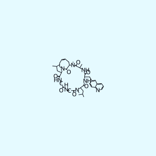 CC(C)CC1C(=O)NC(Cc2ccc3ncccc3c2)C(=O)NC(C)C(=O)N(C)C2CC=CCCN(C2=O)C(CC(C)C)C(=O)NCC(=O)NCC(=O)N1C